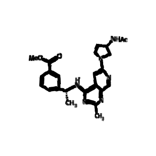 COC(=O)c1cccc([C@@H](C)Nc2nc(C)nc3cnc(N4CC[C@@H](NC(C)=O)C4)cc23)c1